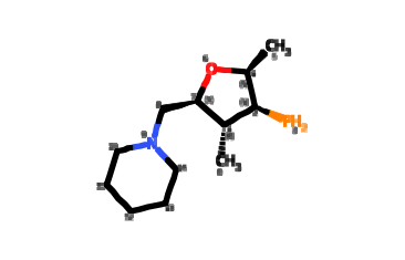 C[C@H]1[C@H](P)[C@H](C)O[C@@H]1CN1CCCCC1